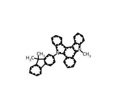 Cn1c2ccccc2c2c3c4ccccc4n(-c4ccc5c(c4)C(C)(C)c4ccccc4-5)c3c3ccccc3c21